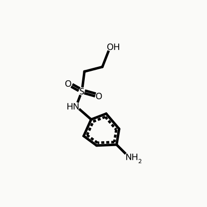 Nc1ccc(NS(=O)(=O)CCO)cc1